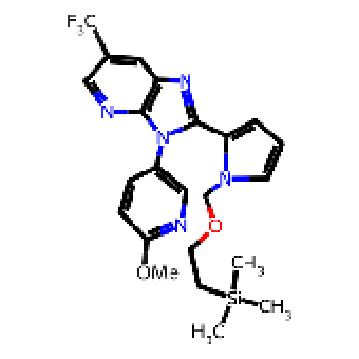 COc1ccc(-n2c(-c3cccn3COCC[Si](C)(C)C)nc3cc(C(F)(F)F)cnc32)cn1